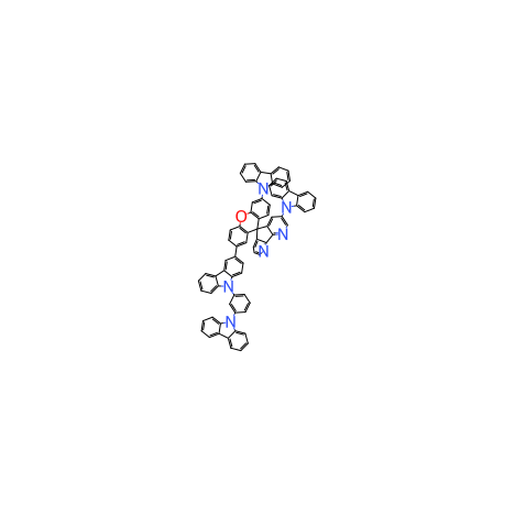 c1cc(-n2c3ccccc3c3ccccc32)cc(-n2c3ccccc3c3cc(-c4ccc5c(c4)C4(c6ccc(-n7c8ccccc8c8ccccc87)cc6O5)c5cccnc5-c5ncc(-n6c7ccccc7c7ccccc76)cc54)ccc32)c1